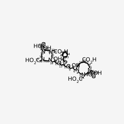 O=C(O)CN1CCN(CC(O)COCC(COCC(O)CN2CCN(CC(=O)O)CCN(CP(=O)(O)O)CCN(CC(=O)O)CC2)OCc2ccccc2)CCCC(C(=O)O)CCCN(CP(=O)(O)O)CC1